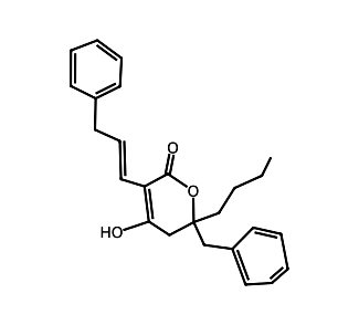 CCCCC1(Cc2ccccc2)CC(O)=C(C=CCc2ccccc2)C(=O)O1